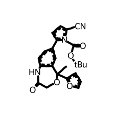 CC(C)(C)OC(=O)n1c(C#N)ccc1-c1ccc2c(c1)C(C)(c1ccco1)OCC(=O)N2